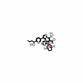 CCCC(O)c1ccc(-c2cnn3c(N)c(C(C)=O)c([C@H]4C[C@H]5CC[C@@H](C4)N5C(=O)c4nnc[nH]4)nc23)cn1